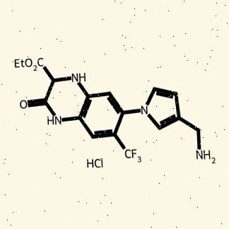 CCOC(=O)C1Nc2cc(-n3ccc(CN)c3)c(C(F)(F)F)cc2NC1=O.Cl